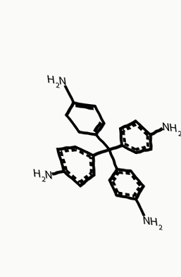 NC1=CC=C(C(c2ccc(N)cc2)(c2ccc(N)cc2)c2ccc(N)cc2)CC1